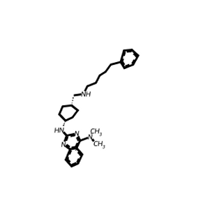 CN(C)c1nc(N[C@H]2CC[C@@H](CNCCCCCc3ccccc3)CC2)nc2ccccc12